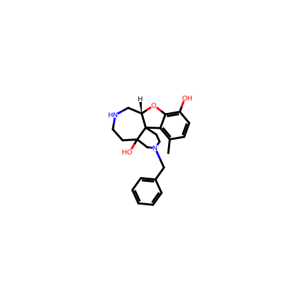 Cc1ccc(O)c2c1C13CCN(Cc4ccccc4)CC1(O)CCNC[C@@H]3O2